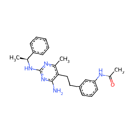 CC(=O)Nc1cccc(CCc2c(C)nc(N[C@@H](C)c3ccccc3)nc2N)c1